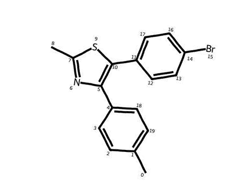 Cc1ccc(-c2nc(C)sc2-c2ccc(Br)cc2)cc1